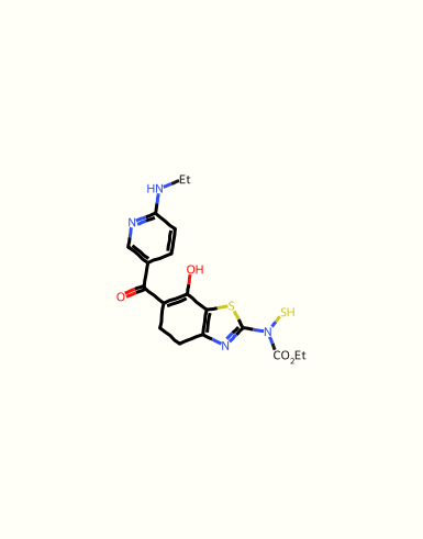 CCNc1ccc(C(=O)C2=C(O)c3sc(N(S)C(=O)OCC)nc3CC2)cn1